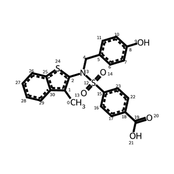 Cc1c(N(Cc2ccc(O)cc2)S(=O)(=O)c2ccc(C(=O)O)cc2)sc2ccccc12